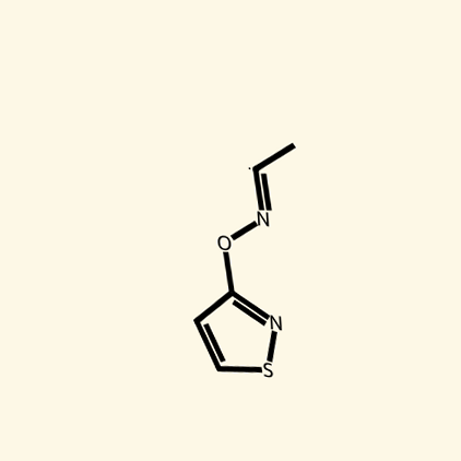 C[C]=NOc1ccsn1